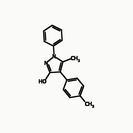 Cc1ccc(-c2c(O)nn(-c3ccccc3)c2C)cc1